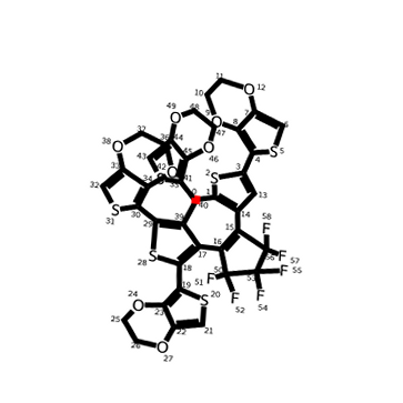 Cc1sc(-c2scc3c2OCCO3)cc1C1=C(c2c(-c3scc4c3OCCO4)sc(-c3scc4c3OCCO4)c2Cc2scc3c2OCCO3)C(F)(F)C(F)(F)C1(F)F